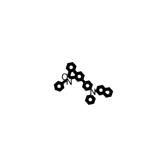 c1ccc(-c2nc3c4cc(-c5ccc(N(c6ccccc6)c6ccc7ccccc7c6)cc5)ccc4c4ccccc4c3o2)cc1